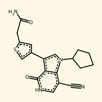 N#Cc1c[nH]c(=O)c2c(-c3csc(CC(N)=O)c3)cn(C3CCCC3)c12